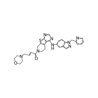 O=C(/C=C/CN1CCOCC1)N1CCc2c(sc3ncnc(Nc4ccc5c(cnn5Cc5ccccn5)c4)c23)C1